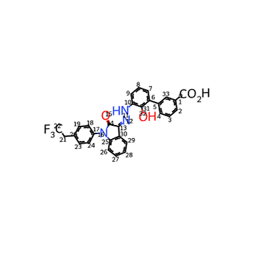 O=C(O)c1cccc(-c2cccc(NN=C3C(=O)N(c4ccc(CC(F)(F)F)cc4)c4ccccc43)c2O)c1